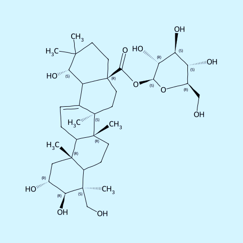 CC1(C)CC[C@]2(C(=O)O[C@@H]3O[C@H](CO)[C@@H](O)[C@H](O)[C@H]3O)CC[C@]3(C)C(=CCC4[C@@]5(C)C[C@@H](O)[C@H](O)[C@](C)(CO)C5CC[C@]43C)C2[C@@H]1O